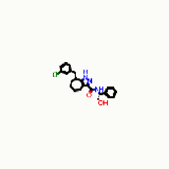 O=C(N[C@@H](CO)c1ccccc1)c1n[nH]c2c1CCCC[C@H]2Cc1cccc(Cl)c1